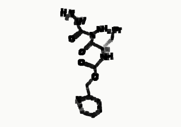 CC(C)C[C@H](NC(=O)OCc1ccccn1)C(=O)N(N)C(=O)NN